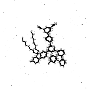 CCCCCCCCC1(CCCCCCCC)c2cc(C)ccc2-c2ccc(-c3cc(-c4cccc(-c5ccccc5-c5cccc(C)c5)c4)nc(-c4ccc(-c5cc(C#N)cc(C#N)c5)cc4)n3)cc21